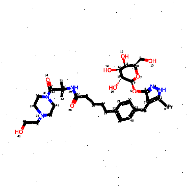 CC(C)c1[nH]nc(O[C@@H]2O[C@H](CO)[C@H](O)[C@H](O)[C@H]2O)c1Cc1ccc(CCCCC(=O)NC(C)(C)C(=O)N2CCN(CCO)CC2)cc1